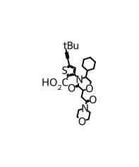 CC(C)(C)C#Cc1cc(N2C(=O)C(CC(=O)N3CCOCC3)OCC2C2CCCCC2)c(C(=O)O)s1